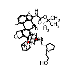 CC(C)(C)OC(=O)Nc1sc2ccc(F)c(-c3c4c(c5c(N6C7CC6CN(C(=O)O)C7)nc(OC[C@@H]6CCCN6CCO)nc5c3F)COC4)c2c1C#N